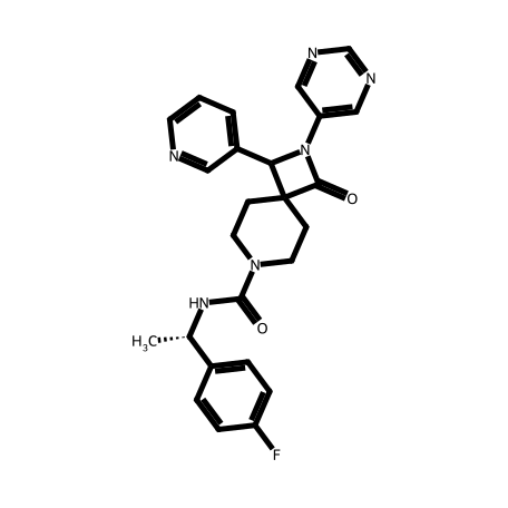 C[C@H](NC(=O)N1CCC2(CC1)C(=O)N(c1cncnc1)C2c1cccnc1)c1ccc(F)cc1